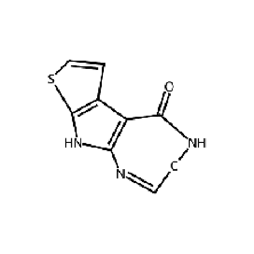 O=C1NCC=Nc2[nH]c3sccc3c21